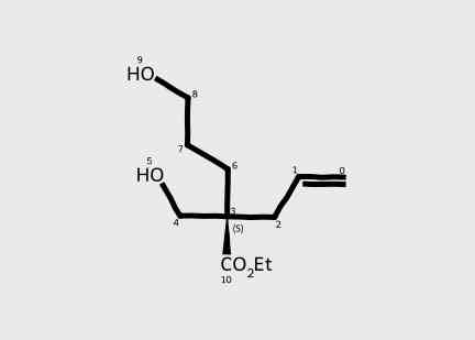 C=CC[C@](CO)(CCCO)C(=O)OCC